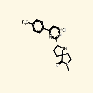 CN1CC[C@]2(CC[C@H](c3nccc(-c4ccc(C(F)(F)F)cc4)n3)N2)C1=O.Cl